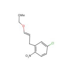 COCOC=CCc1cc(Cl)ccc1[N+](=O)[O-]